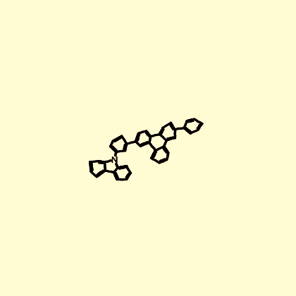 c1ccc(-c2ccc3c4ccc(-c5cccc(-n6c7ccccc7c7ccccc76)c5)cc4c4ccccc4c3c2)cc1